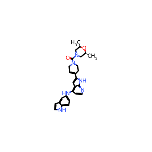 C[C@@H]1CN(C(=O)N2CC=C(c3cc4c(Nc5ccc6[nH]ccc6c5)ccnc4[nH]3)CC2)C[C@H](C)O1